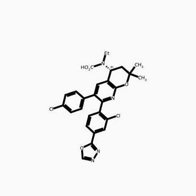 CCN(C(=O)O)[C@@H]1CC(C)(C)Oc2nc(-c3ccc(-c4nnco4)cc3Cl)c(-c3ccc(Cl)cc3)cc21